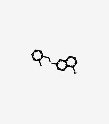 Cc1ccccc1CSc1ccc2c(Br)cccc2c1